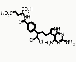 Nc1nc(N)c2c(CCC(c3ccc(C(=O)N[C@@H](CCC(=O)O)C(=O)O)cc3)C(Cl)Cl)c[nH]c2n1